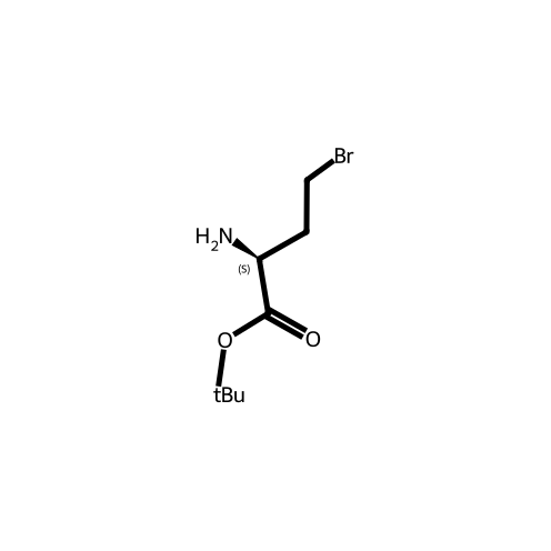 CC(C)(C)OC(=O)[C@@H](N)CCBr